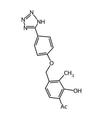 CC(=O)c1ccc(COc2ccc(-c3nnn[nH]3)cc2)c(C)c1O